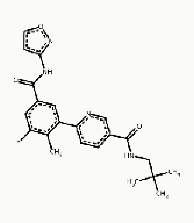 Cc1c(F)cc(C(=O)Nc2ccon2)cc1-c1ccc(C(=O)NCC(C)(C)C)cn1